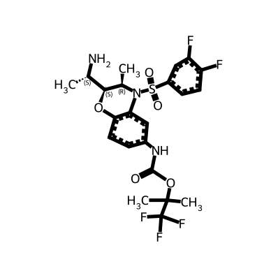 C[C@H](N)[C@@H]1Oc2ccc(NC(=O)OC(C)(C)C(F)(F)F)cc2N(S(=O)(=O)c2ccc(F)c(F)c2)[C@@H]1C